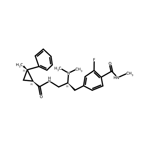 CNC(=O)c1ccc(C[C@@H](CNC(=O)[C@H]2C[C@]2(C)c2ccccc2)N(C)C)cc1F